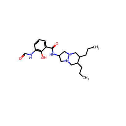 CCCC1CN2CC(NC(=O)c3cccc(NC=O)c3O)CN2CC1CCC